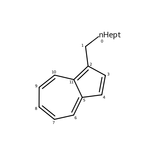 CCCCCCCCc1ccc2cccccc1-2